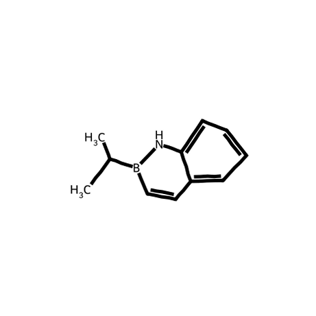 CC(C)B1C=Cc2ccccc2N1